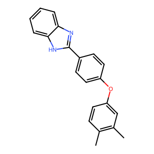 Cc1ccc(Oc2ccc(-c3nc4ccccc4[nH]3)cc2)cc1C